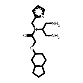 NCC(CN)N(Cc1cccs1)C(=O)COC1CCC2CCCC2C1